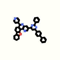 C1=Cc2c(oc3c2ccc2c(-c4ccncc4)nc4cc(-c5cc(-c6ccc(-c7ccccc7)cc6)nc(-c6ccccc6)n5)cnc4c23)CC1